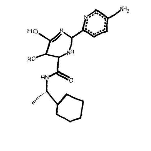 C[C@H](NC(=O)C1NC(c2ccc(N)cn2)N=C(O)C1O)C1CCCCC1